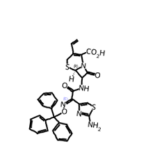 C=CC1=C(C(=O)O)N2C(=O)C(NC(=O)/C(=N/OC(c3ccccc3)(c3ccccc3)c3ccccc3)c3csc(N)n3)[C@H]2SC1